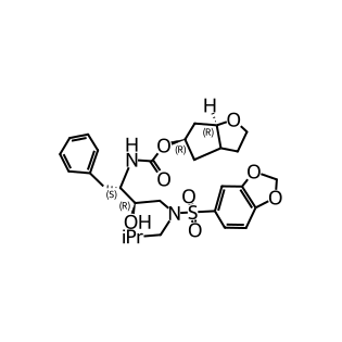 CC(C)CN(C[C@@H](O)[C@H](Cc1ccccc1)NC(=O)O[C@@H]1CC2CCO[C@@H]2C1)S(=O)(=O)c1ccc2c(c1)OCO2